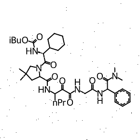 CCCC(NC(=O)C1CC(C)(C)CN1C(=O)[C@@H](NC(=O)OCC(C)C)C1CCCCC1)C(=O)C(=O)NCC(=O)NC(C(=O)N(C)C)c1ccccc1